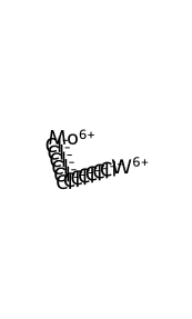 [Cl-].[Cl-].[Cl-].[Cl-].[Cl-].[Cl-].[Cl-].[Cl-].[Cl-].[Cl-].[Cl-].[Cl-].[Mo+6].[W+6]